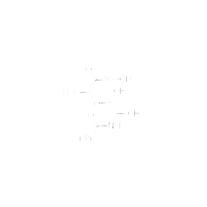 CCCC(=O)NC(C)C(C)OC(C)[C](=O)[Ra][CH3]